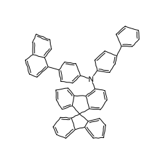 c1ccc(-c2ccc(N(c3ccc(-c4cccc5ccccc45)cc3)c3cccc4c3-c3ccccc3C43c4ccccc4-c4ccccc43)cc2)cc1